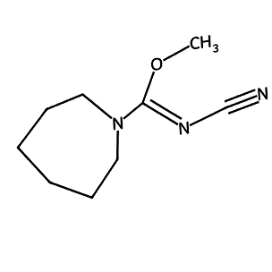 COC(=NC#N)N1CCCCCC1